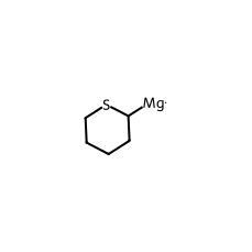 [Mg][CH]1CCCCS1